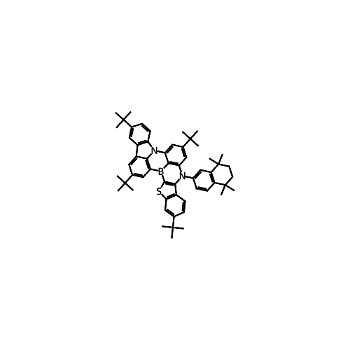 CC(C)(C)c1cc2c3c(c1)-n1c4ccc(C(C)(C)C)cc4c4cc(C(C)(C)C)cc(c41)B3c1sc3cc(C(C)(C)C)ccc3c1N2c1ccc2c(c1)C(C)(C)CCC2(C)C